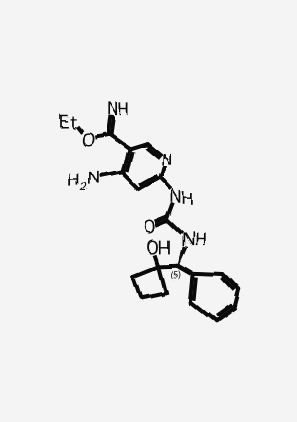 CCOC(=N)c1cnc(NC(=O)N[C@@H](c2ccccc2)C2(O)CCC2)cc1N